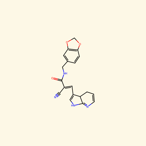 N#C/C(=C\C1=CNC2=NC=CCC12)C(=O)NCc1ccc2c(c1)OCO2